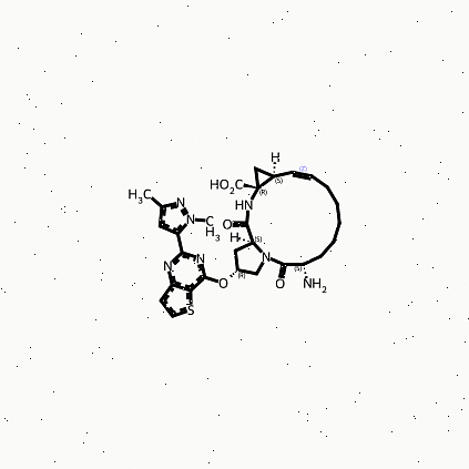 Cc1cc(-c2nc(O[C@@H]3C[C@H]4C(=O)N[C@]5(C(=O)O)C[C@H]5/C=C\CCCCC[C@H](N)C(=O)N4C3)c3sccc3n2)n(C)n1